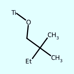 CCC(C)(C)C[O][Ti]